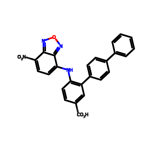 O=C(O)c1ccc(Nc2ccc([N+](=O)[O-])c3nonc23)c(-c2ccc(-c3ccccc3)cc2)c1